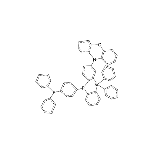 c1ccc(P(c2ccccc2)c2ccc(P3c4ccccc4[Si](c4ccccc4)(c4ccccc4)c4cc(N5c6ccccc6Oc6ccccc65)ccc43)cc2)cc1